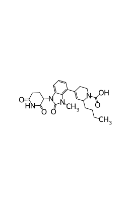 CCCCC1C=C(c2cccc3c2n(C)c(=O)n3C2CCC(=O)NC2=O)CCN1C(=O)O